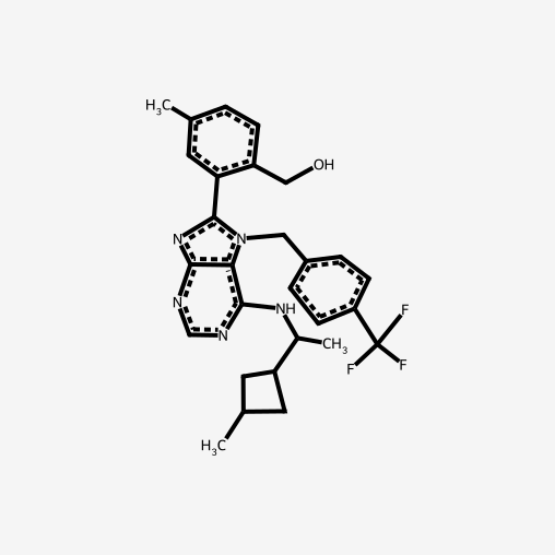 Cc1ccc(CO)c(-c2nc3ncnc(NC(C)C4CC(C)C4)c3n2Cc2ccc(C(F)(F)F)cc2)c1